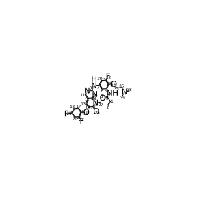 C=CC(=O)Nc1cc(Nc2ncc3cc(Oc4ccc(F)cc4F)c(=O)n(C)c3n2)cc(F)c1OCCN(C)C